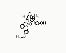 COc1ccc(CN2C(=O)C(Nc3cc([C@H]4CC[C@@H](O)C4)nn3C(C)(C)C)Cc3ccccc32)cc1